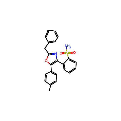 Cc1ccc(-c2oc(Cc3ccccc3)nc2-c2ccccc2S(N)(=O)=O)cc1